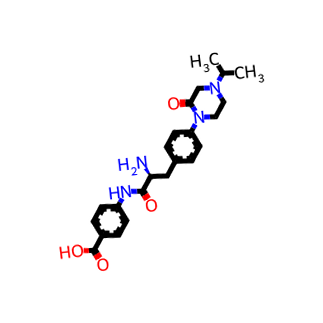 CC(C)N1CCN(c2ccc(C[C@H](N)C(=O)Nc3ccc(C(=O)O)cc3)cc2)C(=O)C1